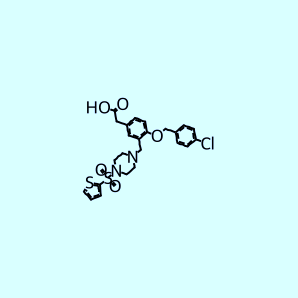 O=C(O)Cc1ccc(OCc2ccc(Cl)cc2)c(CN2CCN(S(=O)(=O)c3cccs3)CC2)c1